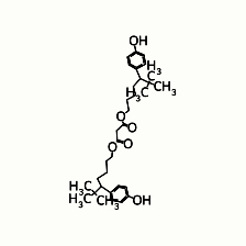 CC(C)(C)C(CCCCOC(=O)CC(=O)OCCCCC(c1ccc(O)cc1)C(C)(C)C)c1ccc(O)cc1